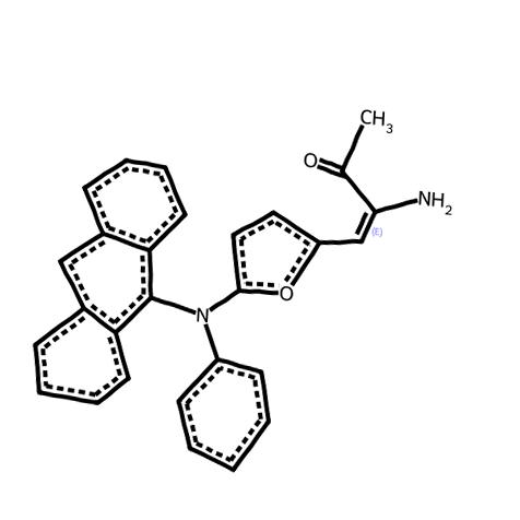 CC(=O)/C(N)=C\c1ccc(N(c2ccccc2)c2c3ccccc3cc3ccccc23)o1